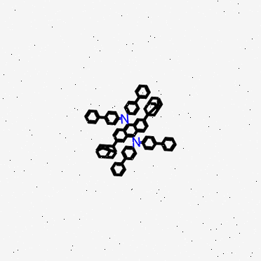 c1ccc(-c2ccc(N(c3ccc(-c4ccccc4)cc3)c3c4ccc(C56CC7CC(CC(C7)C5)C6)cc4c(N(c4ccc(-c5ccccc5)cc4)c4ccc(-c5ccccc5)cc4)c4ccc(C5C6CC7CC(C6)CC5C7)cc34)cc2)cc1